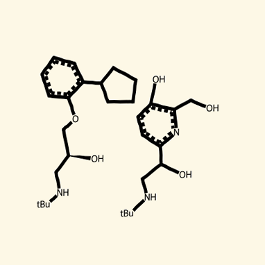 CC(C)(C)NCC(O)c1ccc(O)c(CO)n1.CC(C)(C)NC[C@H](O)COc1ccccc1C1CCCC1